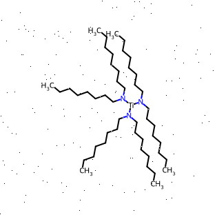 CCCCCCCC[N](CCCCCCCC)[Ti]([N](CCCCCCCC)CCCCCCCC)[N](CCCCCCCC)CCCCCCCC